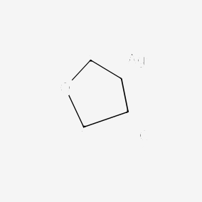 C1CCOC1.[Ag].[C]